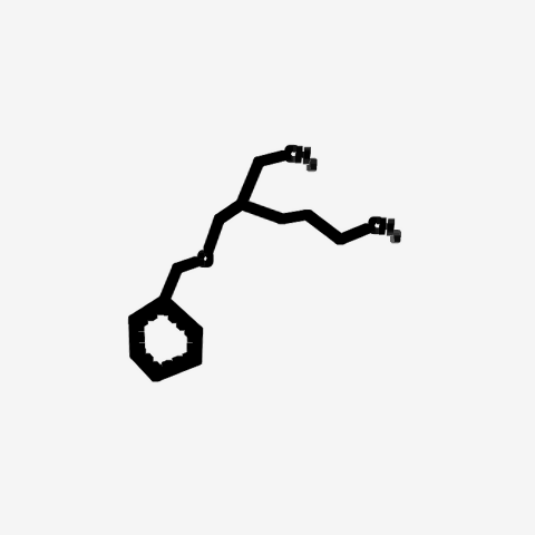 CCCCC(CC)COCc1ccccc1